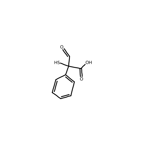 O=CC(S)(C(=O)O)c1ccccc1